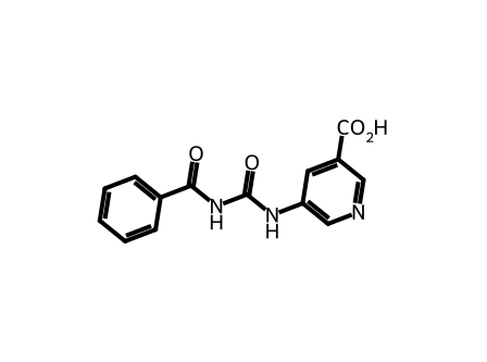 O=C(NC(=O)c1ccccc1)Nc1cncc(C(=O)O)c1